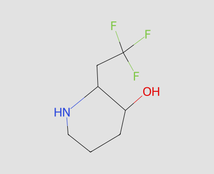 OC1CCCNC1CC(F)(F)F